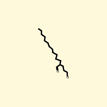 CCCCCCCCCCCCC(C=O)CCCCl